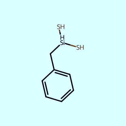 S[SiH](S)Cc1ccccc1